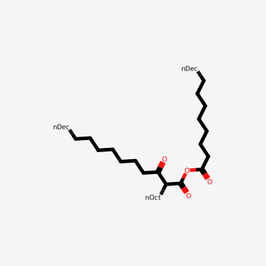 CCCCCCCCCCCCCCCCCC(=O)OC(=O)C(CCCCCCCC)C(=O)CCCCCCCCCCCCCCCCC